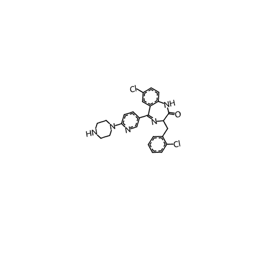 O=C1Nc2ccc(Cl)cc2C(c2ccc(N3CCNCC3)nc2)=NC1Cc1ccccc1Cl